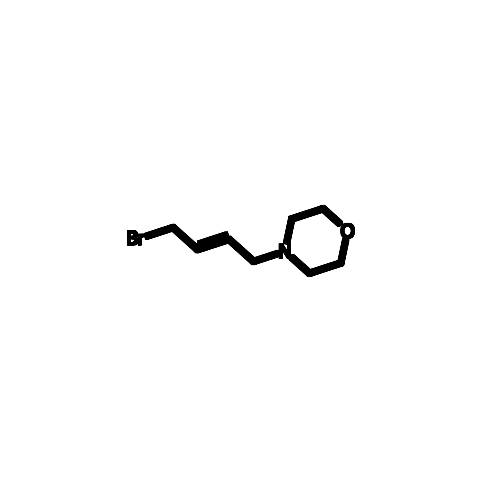 BrCC=CCN1CCOCC1